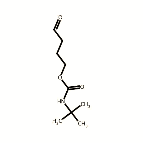 CC(C)(C)NC(=O)OCCCC=O